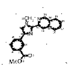 COC(=O)c1cccc(-c2cn(C)c(-c3cc4ccccc4cn3)n2)c1